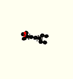 c1ccc(-c2cccc(-c3nc(-c4ccc(-c5ccc(-c6nc(-c7ccccc7)n7c(-c8ccccc8)c8ccccc8c7n6)cc5)cc4)nc(-c4cccc(-c5ccccc5)c4)n3)c2)cc1